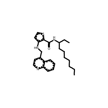 CCCCCCCC(CC)NC(=O)c1sccc1NCc1ccnc2ccccc12